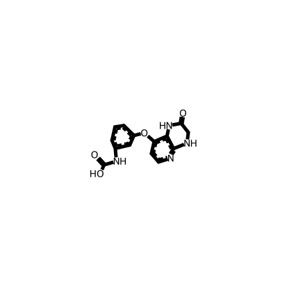 O=C(O)Nc1cccc(Oc2ccnc3c2NC(=O)CN3)c1